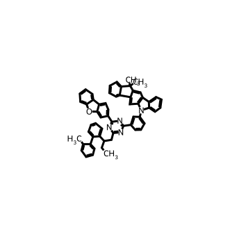 CCC(Cc1nc(-c2cccc(-n3c4ccccc4c4cc5c(cc43)-c3ccccc3C5(C)C)c2)nc(-c2ccc3c(c2)oc2ccccc23)n1)c1ccccc1-c1ccccc1C